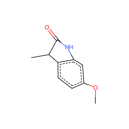 COc1ccc2c(c1)NC(=O)C2C